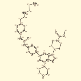 COC(=O)N1CCC(n2ncc3c(N4CCOCC4)nc(-c4ccc(NC(=O)Nc5ccc(CCNCCN)cc5)cc4)nc32)CC1